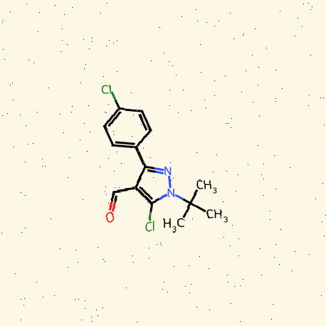 CC(C)(C)n1nc(-c2ccc(Cl)cc2)c(C=O)c1Cl